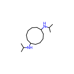 CC(C)NC1CCCCCC(NC(C)C)CCCC1